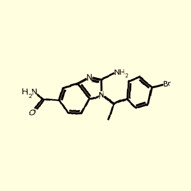 CC(c1ccc(Br)cc1)n1c(N)nc2cc(C(N)=O)ccc21